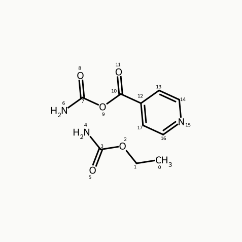 CCOC(N)=O.NC(=O)OC(=O)c1ccncc1